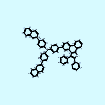 c1ccc(-c2oc3c4ccccc4c4ccc(-c5ccc(N(c6ccc(-c7ccc8ccccc8c7)cc6)c6ccc(-c7ccc8ccccc8c7)cc6)cc5)cc4c3c2-c2ccccc2)cc1